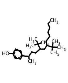 CCCCCCC(CC(CCC(C)c1ccc(O)cc1)C(C)(C)C)C(C)(C)C